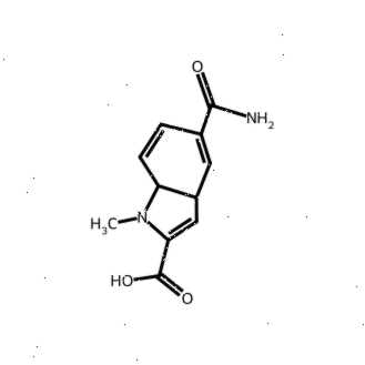 CN1C(C(=O)O)=CC2C=C(C(N)=O)C=CC21